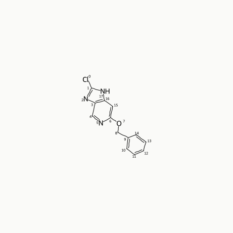 Clc1nc2cnc(OCc3ccccc3)cc2[nH]1